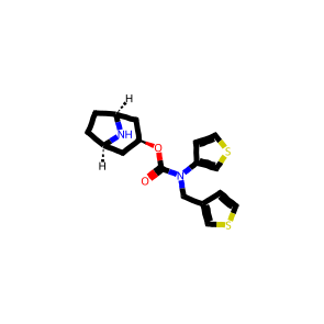 O=C(O[C@H]1C[C@H]2CC[C@@H](C1)N2)N(Cc1ccsc1)c1ccsc1